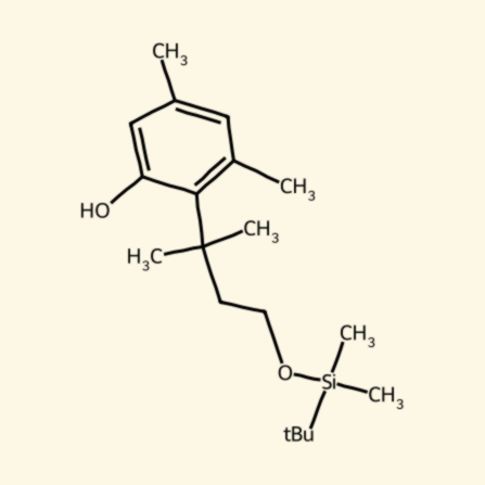 Cc1cc(C)c(C(C)(C)CCO[Si](C)(C)C(C)(C)C)c(O)c1